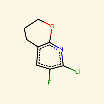 Fc1cc2c(nc1Cl)OCCC2